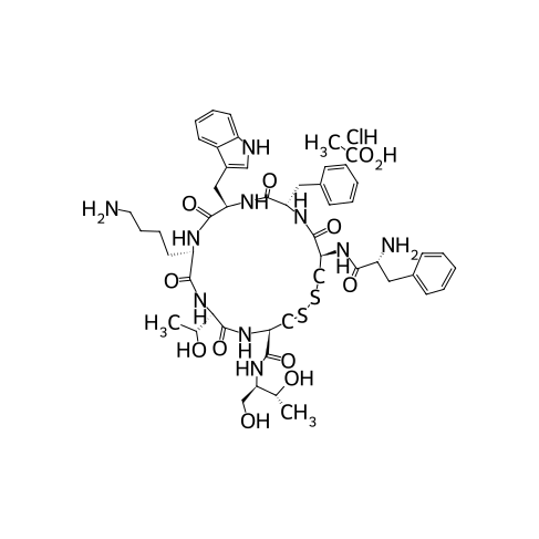 CC(=O)O.CC(O)[C@@H]1NC(=O)[C@H](CCCCN)NC(=O)[C@@H](Cc2c[nH]c3ccccc23)NC(=O)[C@H](Cc2ccccc2)NC(=O)[C@@H](NC(=O)[C@H](N)Cc2ccccc2)CSSC[C@@H](C(=O)N[C@H](CO)[C@@H](C)O)NC1=O.Cl